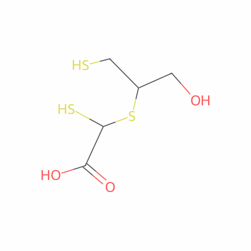 O=C(O)C(S)SC(CO)CS